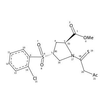 COC(=O)[C@@H]1C[C@@H](S(=O)(=O)c2ccccc2Cl)CN1C(=S)CC(C)=O